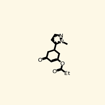 CCC(=O)OC1=CC(=O)CC(c2ccnn2C)C1